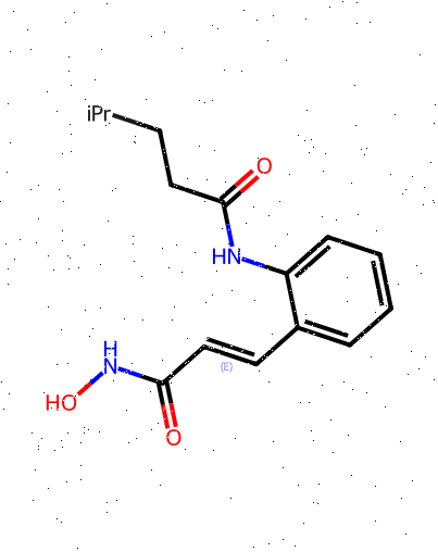 CC(C)CCC(=O)Nc1ccccc1/C=C/C(=O)NO